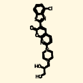 O=c1oc2nc(N3CCN(CC(O)CO)CC3)ccc2cc1-c1nc2c(Cl)cccc2s1